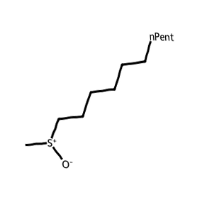 CCCCCCCCCCC[S+](C)[O-]